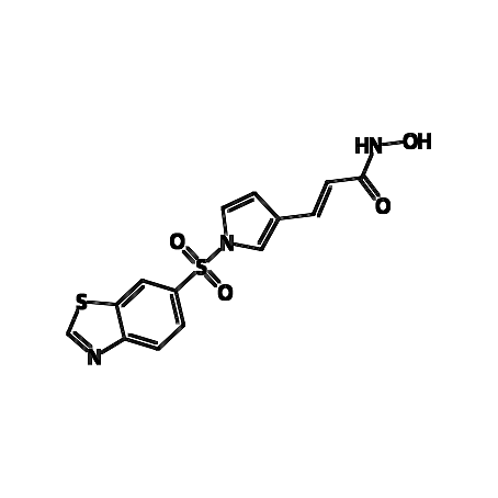 O=C(/C=C/c1ccn(S(=O)(=O)c2ccc3ncsc3c2)c1)NO